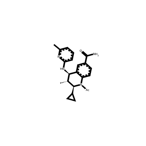 CC(=O)N1c2ccc(C(N)=O)cc2[C@H](Nc2cccc(C)n2)[C@@H](C)[C@@H]1C1CC1